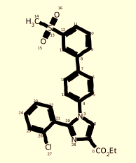 CCOC(=O)c1cn(-c2ccc(-c3cccc(S(C)(=O)=O)c3)cc2)c(-c2ccccc2Cl)n1